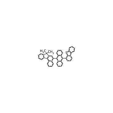 CC1(C)c2ccccc2-c2c1cc(-c1c3ccccc3c(-c3cccc4c3sc3ccccc34)c3ccccc13)c1ccccc21